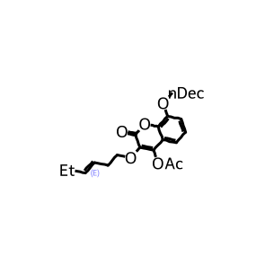 CC/C=C/CCOc1c(OC(C)=O)c2cccc(OCCCCCCCCCC)c2oc1=O